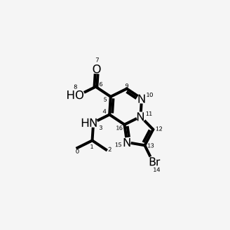 CC(C)Nc1c(C(=O)O)cnn2cc(Br)nc12